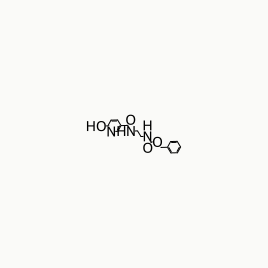 O=C(NCCNC(=O)c1ccc(O)nc1)OCc1ccccc1